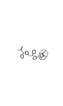 C=C(C)C(=O)OCC(=O)OC1C2CC3COC1CC(C3)C2